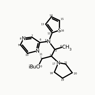 CC(C)COCC(C(C)N(c1cnccn1)c1cccs1)N1CCCC1